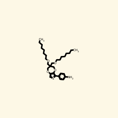 CCCCCCCCOCC1(COCCCCCCCC)COc2csc(-c3ccc(N)cc3)c2OC1